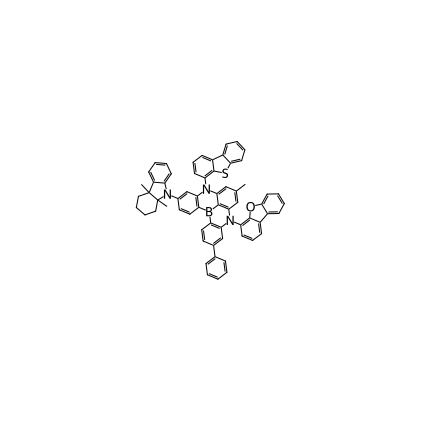 Cc1cc2c3c(c1)N(c1cccc4c1sc1ccccc14)c1cc(N4c5ccccc5C5(C)CCCCC45C)ccc1B3c1ccc(-c3ccccc3)cc1N2c1cccc2c1oc1ccccc12